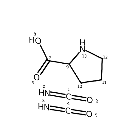 N=C=O.N=C=O.O=C(O)C1CCCN1